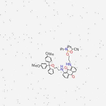 COc1ccc(C(OCCCNc2cccc3c2C(=O)c2c(NCCCOP(OC(C)C#N)N(C(C)C)C(C)C)cccc2C3=O)(c2ccccc2)c2ccc(OC)cc2)cc1